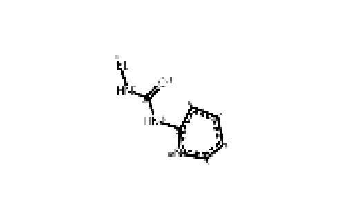 CCNC(=O)Nc1cc[c]cn1